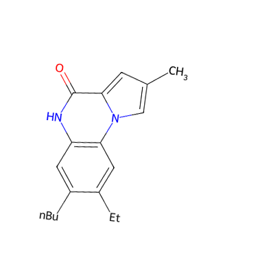 CCCCc1cc2[nH]c(=O)c3cc(C)cn3c2cc1CC